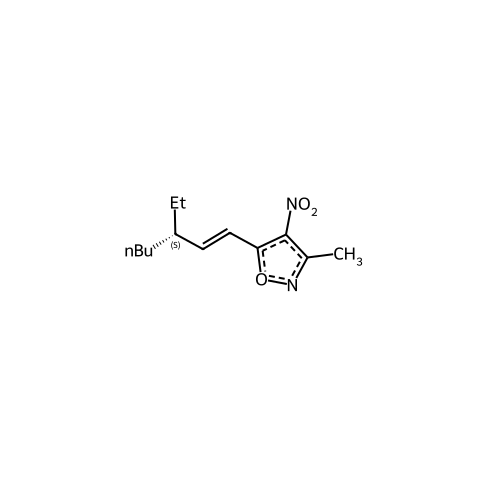 CCCC[C@@H](C=Cc1onc(C)c1[N+](=O)[O-])CC